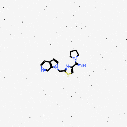 N=C(c1csc(Cn2ccc3ccncc32)n1)N1CCCC1